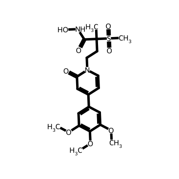 COc1cc(-c2ccn(CCC(C)(C(=O)NO)S(C)(=O)=O)c(=O)c2)cc(OC)c1OC